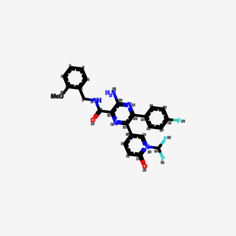 COc1ccccc1CNC(=O)c1nc(-c2ccc(=O)n(C(F)F)c2)c(-c2ccc(F)cc2)nc1N